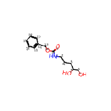 O=C(NCCCC(O)CO)OCc1ccccc1